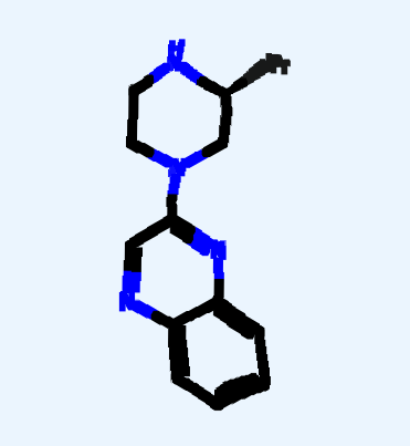 CC(C)[C@H]1CN(c2cnc3ccccc3n2)CCN1